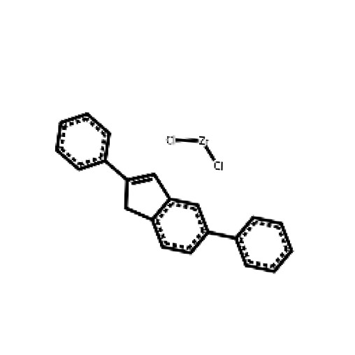 C1=C(c2ccccc2)Cc2ccc(-c3ccccc3)cc21.[Cl][Zr][Cl]